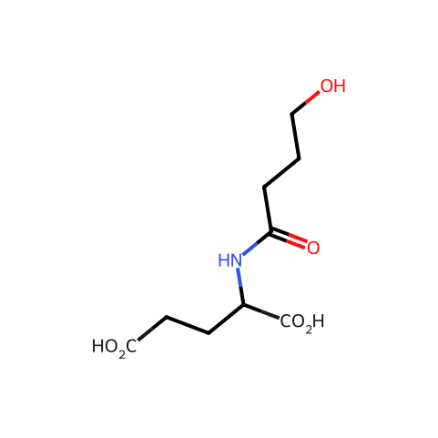 O=C(O)CCC(NC(=O)CCCO)C(=O)O